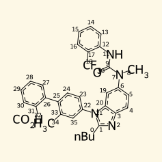 CCCCc1nc2ccc(N(C)C(=O)Nc3ccccc3C(F)(F)F)cc2n1-c1ccc(-c2ccccc2C(=O)O)c(C)c1